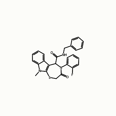 Cn1c2c(c3ccccc31)C(C(=O)NCc1ccccc1)N(c1ccccc1F)C(=O)CS2